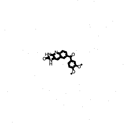 COc1ccc(C(=O)c2ccc3nc4[nH]c(=O)[nH]c4cc3c2)cc1OC